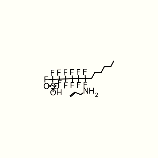 C=CCN.CCCCCCC(F)(F)C(F)(F)C(F)(F)C(F)(F)C(F)(F)C(F)(F)S(=O)(=O)O